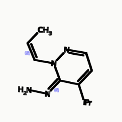 C/C=C\n1nccc(C(C)C)/c1=N/N